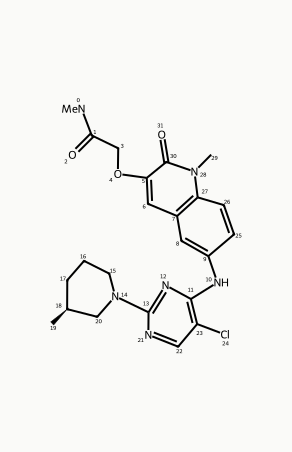 CNC(=O)COc1cc2cc(Nc3nc(N4CCC[C@H](C)C4)ncc3Cl)ccc2n(C)c1=O